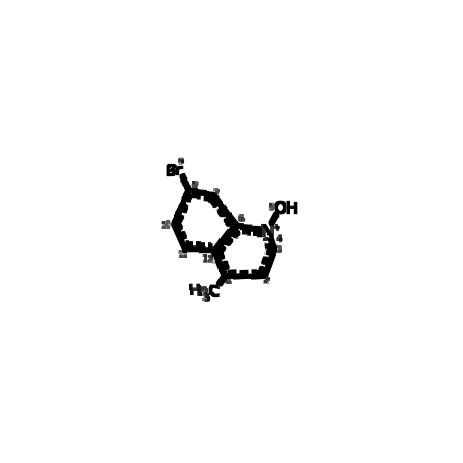 Cc1cc[n+](O)c2cc(Br)ccc12